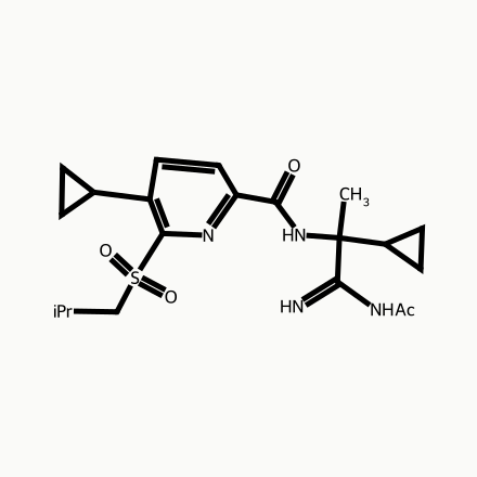 CC(=O)NC(=N)C(C)(NC(=O)c1ccc(C2CC2)c(S(=O)(=O)CC(C)C)n1)C1CC1